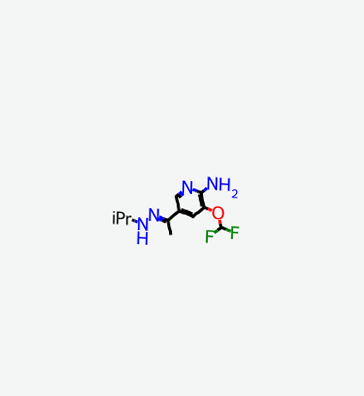 C/C(=N\NC(C)C)c1cnc(N)c(OC(F)F)c1